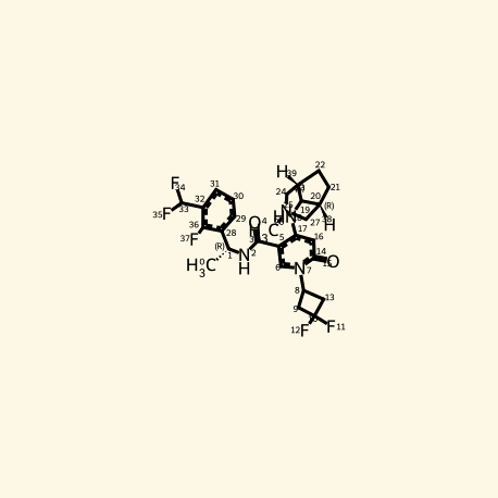 C[C@@H](NC(=O)c1cn(C2CC(F)(F)C2)c(=O)cc1NC1[C@@H]2CC[C@H]1CN(C)C2)c1cccc(C(F)F)c1F